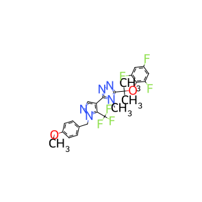 COc1ccc(Cn2ncc(-c3nnc(C(C)(C)Oc4c(F)cc(F)cc4F)n3C)c2C(F)(F)F)cc1